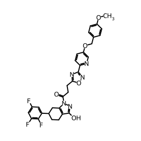 COc1ccc(COc2ccc(-c3noc(CCC(=O)n4nc(O)c5c4CC(c4cc(F)cc(F)c4F)CC5)n3)nc2)cc1